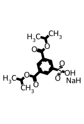 CC(C)OC(=O)c1cc(C(=O)OC(C)C)cc(S(=O)(=O)O)c1.[NaH]